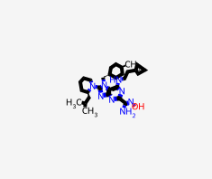 CC(C)C[C@H]1CCCCN1c1nc2nc(C(N)=NO)nc(NCCC3CCC3)c2n1C[C@H]1CC[C@H](C)CC1